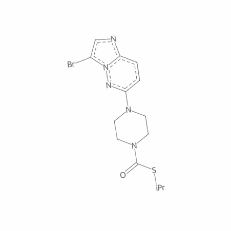 CC(C)SC(=O)N1CCN(c2ccc3ncc(Br)n3n2)CC1